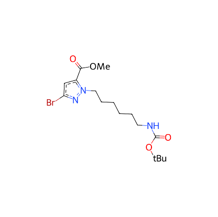 COC(=O)c1cc(Br)nn1CCCCCCNC(=O)OC(C)(C)C